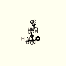 NC(=O)c1onc(-c2ccccc2)c1C1CC(C(=O)NNC(=O)C2CS(=O)(=O)C2)C1